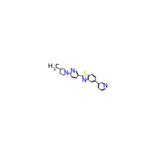 CC1CCN(c2ccc(-c3nc4cc(-c5cccnc5)ccc4s3)cn2)C1